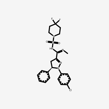 CN=C(NS(=O)(=O)N1CCC(F)(F)CC1)C1=NN(c2ccc(Cl)cc2)[C@@H](c2ccccc2)C1